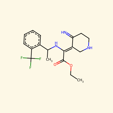 CCOC(=O)/C(NC(C)c1ccccc1C(F)(F)F)=C1\CNCCC1=N